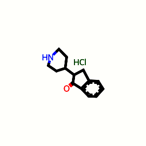 Cl.O=C1c2ccccc2CC1C1CCNCC1